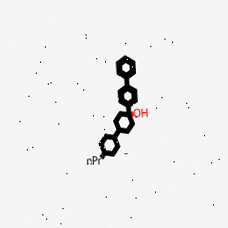 CCCC1CCC(C2CCC(O)(c3ccc(-c4ccccc4)cc3)CC2)CC1